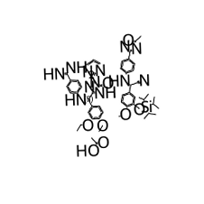 CC(=O)O.CCOc1cc([C@H](Nc2ccc(C(=N)N)cc2)c2nn(-c3ncccn3)c(=O)[nH]2)ccc1OC.COc1ccc(C(C#N)Nc2ccc(-c3noc(C)n3)cc2)cc1O[Si](C(C)C)(C(C)C)C(C)C